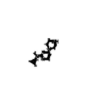 CN(c1nccc(N2CCNCC2)n1)C1CC1